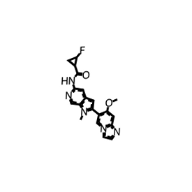 COc1cc2nccn2cc1-c1cc2cc(NC(=O)C3CC3F)ncc2n1C